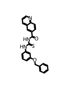 O=C(NC(=S)Nc1cccc(OCc2ccccc2)c1)c1ccc2ncccc2c1